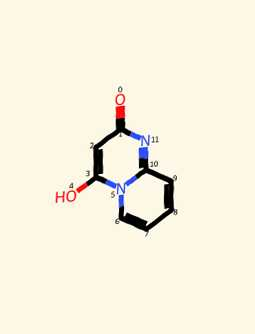 O=c1cc(O)n2ccccc2n1